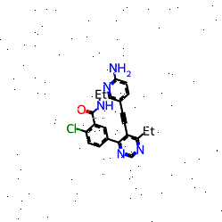 CCNC(=O)c1cc(-c2ncnc(CC)c2C#Cc2ccc(N)nc2)ccc1Cl